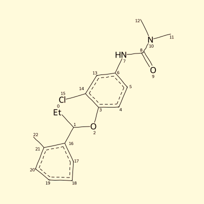 CCC(Oc1ccc(NC(=O)N(C)C)cc1Cl)c1ccccc1C